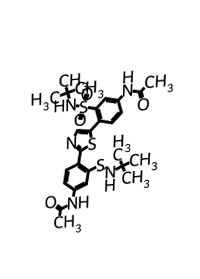 CC(=O)Nc1ccc(-c2ncc(-c3ccc(NC(C)=O)cc3S(=O)(=O)NC(C)(C)C)s2)c(SNC(C)(C)C)c1